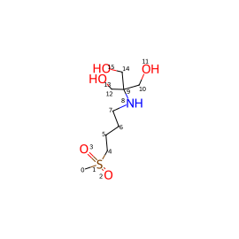 CS(=O)(=O)CCCCNC(CO)(CO)CO